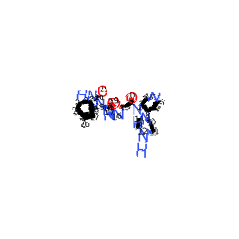 O=C(Nc1cnccc1N1CCNCC1)c1nnc(-n2c(=O)[nH]c3ccccc32)o1